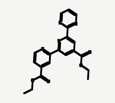 CCOC(=O)c1ccnc(-c2cc(C(=O)OCC)cc(-c3ncccn3)n2)c1